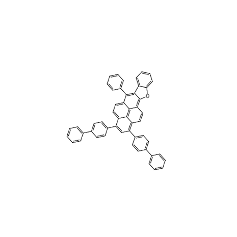 c1ccc(-c2ccc(-c3cc(-c4ccc(-c5ccccc5)cc4)c4ccc5c6oc7ccccc7c6c(-c6ccccc6)c6ccc3c4c65)cc2)cc1